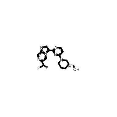 OC[C@@H]1CCCN(c2ccnc(-c3cnc4cnc(C(F)F)cn34)n2)C1